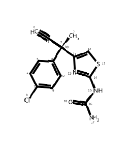 C#C[C@@](C)(c1ccc(Cl)cc1)c1csc(NC(N)=O)n1